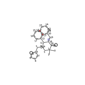 CC1(C)CN(Cc2ccco2)C(c2ccccc2)/C(=C\c2ccccn2)C1=O